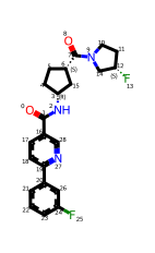 O=C(N[C@@H]1CC[C@H](C(=O)N2CC[C@H](F)C2)C1)c1ccc(-c2cccc(F)c2)nc1